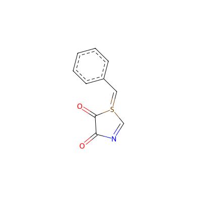 O=C1N=CS(=Cc2ccccc2)C1=O